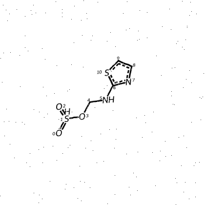 O=[SH](=O)OCNc1nccs1